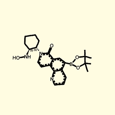 CC1(C)OB(c2cc3c(=O)n([C@H]4CCCC[C@@H]4NO)ccc3c3ncccc23)OC1(C)C